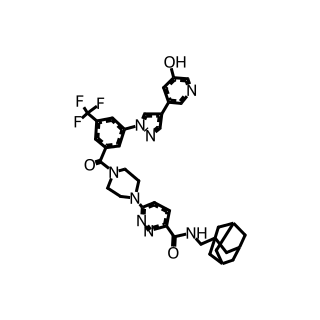 O=C(NCC12CC3CC(CC(C3)C1)C2)c1ccc(N2CCN(C(=O)c3cc(-n4cc(-c5cncc(O)c5)cn4)cc(C(F)(F)F)c3)CC2)nn1